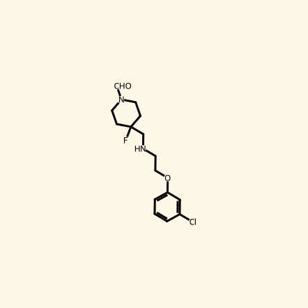 O=CN1CCC(F)(CNCCOc2cccc(Cl)c2)CC1